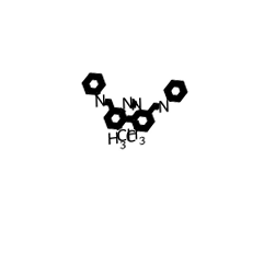 Cc1ccc(/C=N/c2ccccc2)c2nnc3c(/C=N/c4ccccc4)ccc(C)c3c12